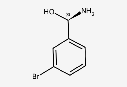 N[C@H](O)c1cccc(Br)c1